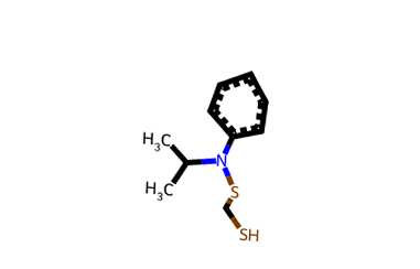 CC(C)N(SCS)c1ccccc1